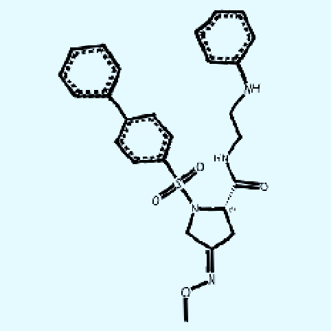 CON=C1C[C@@H](C(=O)NCCNc2ccccc2)N(S(=O)(=O)c2ccc(-c3ccccc3)cc2)C1